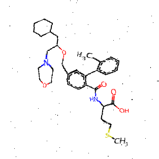 CSCCC(NC(=O)c1ccc(COC(CC2CCCCC2)CN2CCOCC2)cc1-c1ccccc1C)C(=O)O